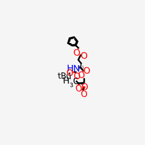 Cc1oc(=O)oc1COC(=O)[C@H](CCC(=O)OCc1ccccc1)NC(=O)OC(C)(C)C